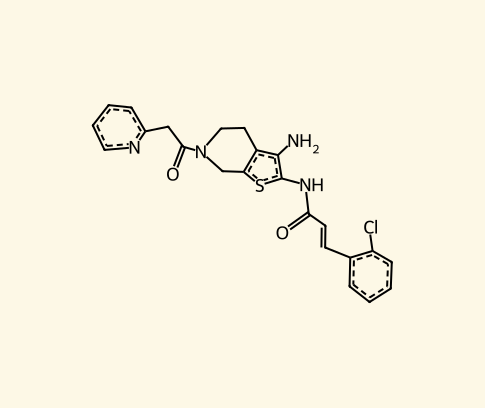 Nc1c(NC(=O)/C=C/c2ccccc2Cl)sc2c1CCN(C(=O)Cc1ccccn1)C2